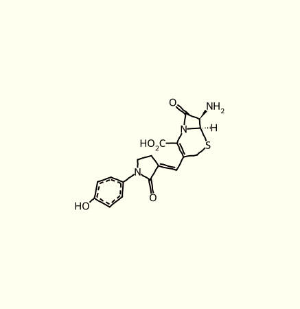 N[C@@H]1C(=O)N2C(C(=O)O)=C(C=C3CCN(c4ccc(O)cc4)C3=O)CS[C@H]12